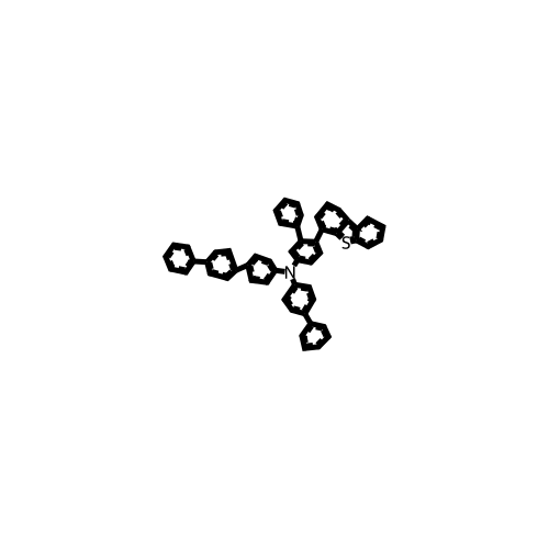 c1ccc(-c2ccc(-c3ccc(N(c4ccc(-c5ccccc5)cc4)c4ccc(-c5cccc6c5sc5ccccc56)c(-c5ccccc5)c4)cc3)cc2)cc1